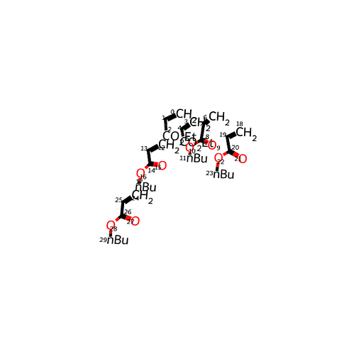 C=CC(=O)OCC.C=CC(=O)OCC.C=CC(=O)OCCCC.C=CC(=O)OCCCC.C=CC(=O)OCCCC.C=CC(=O)OCCCC